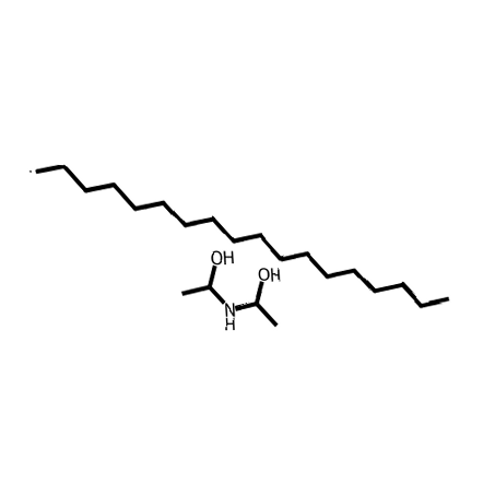 CC(O)NC(C)O.[CH2]CCCCCCCCCCCCCCCCC